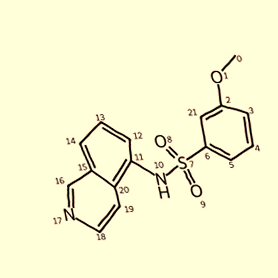 COc1cccc(S(=O)(=O)Nc2cccc3cnccc23)c1